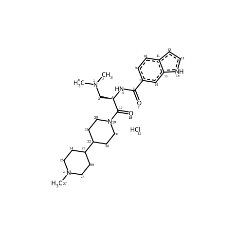 CN(C)C[C@@H](NC(=O)c1ccc2cc[nH]c2c1)C(=O)N1CCC(C2CCN(C)CC2)CC1.Cl